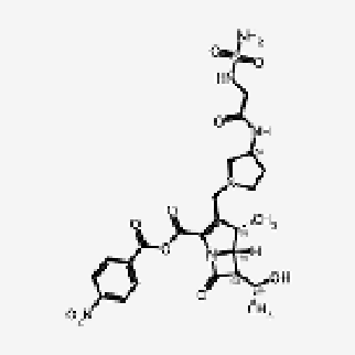 C[C@@H](O)[C@H]1C(=O)N2C(C(=O)OC(=O)c3ccc([N+](=O)[O-])cc3)=C(CN3CC[C@H](NC(=O)CNS(N)(=O)=O)C3)[C@H](C)[C@H]12